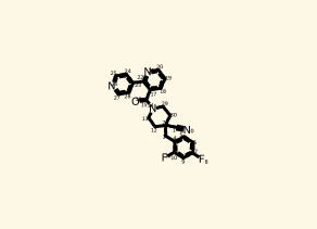 N#CC1(Cc2ccc(F)cc2F)CCN(C(=O)c2cccnc2-c2ccncc2)CC1